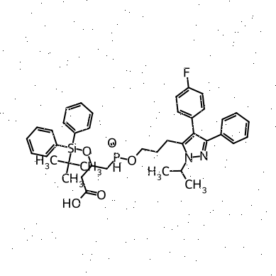 CC(C)n1nc(-c2ccccc2)c(-c2ccc(F)cc2)c1CCCO[PH](=O)CC(CC(=O)O)O[Si](c1ccccc1)(c1ccccc1)C(C)(C)C